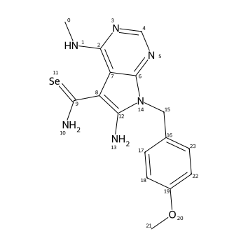 CNc1ncnc2c1c(C(N)=[Se])c(N)n2Cc1ccc(OC)cc1